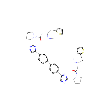 O=C(O)N[C@H](CC(=O)N1CCC[C@H]1c1ncc(-c2ccc(-c3ccc(-c4cnc([C@@H]5CCCN5C(=O)C[C@H](Cc5cccs5)NC(=O)O)[nH]4)cc3)cc2)[nH]1)Cc1cccs1